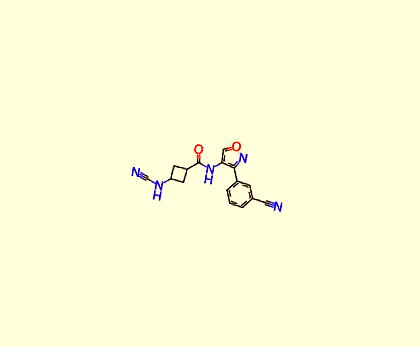 N#CNC1CC(C(=O)Nc2conc2-c2cccc(C#N)c2)C1